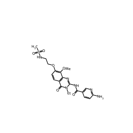 CCn1c(NC(=O)c2ccc(N)nc2)nc2c(OC)c(OCCNS(C)(=O)=O)ccc2c1=O